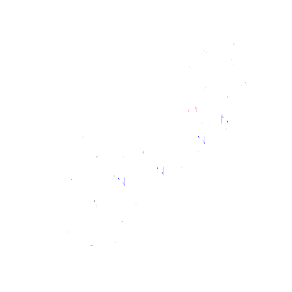 O=C(CN1CCN(C(c2ccccc2)c2ccccc2)CC1)Nc1nc2cc(Cl)ccc2o1